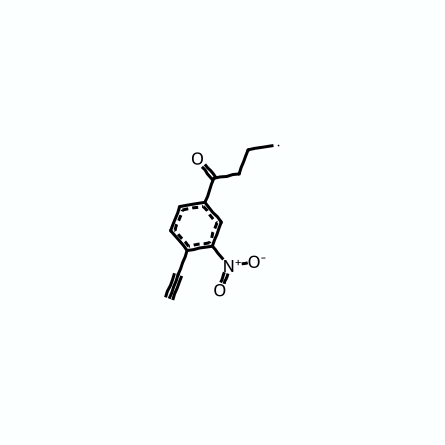 C#Cc1ccc(C(=O)CC[CH2])cc1[N+](=O)[O-]